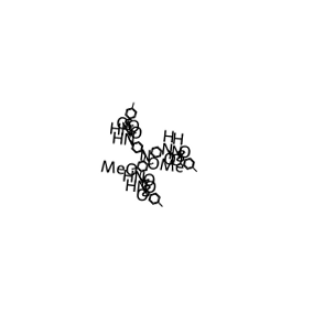 COc1cc(N(c2ccc(NC(=O)NS(=O)(=O)c3ccc(C)cc3)cc2)c2ccc(NC(=O)NS(=O)(=O)c3ccc(C)cc3)cc2)c(OC)cc1NC(=O)NS(=O)(=O)c1ccc(C)cc1